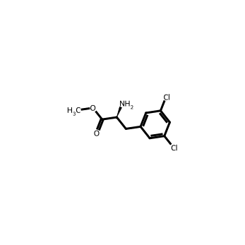 COC(=O)[C@@H](N)Cc1cc(Cl)cc(Cl)c1